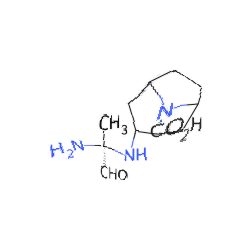 C[C@@](N)(C=O)NC1CC2CCC(C1)N2C(=O)O